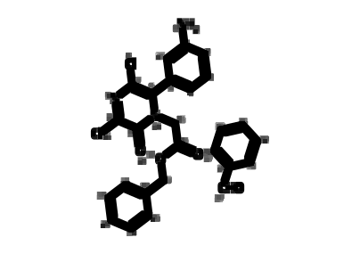 Nc1cccc(-c2c(Cl)nc(Cl)c(=O)n2CC(=O)OCc2ccccc2)c1.O=Cc1ccccc1